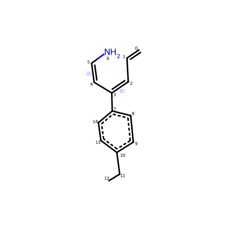 C=C/C=C(\C=C/N)c1ccc(CC)cc1